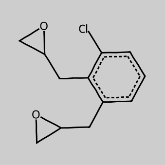 Clc1cccc(CC2CO2)c1CC1CO1